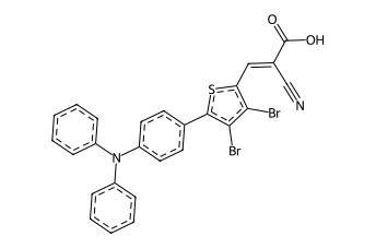 N#C/C(=C\c1sc(-c2ccc(N(c3ccccc3)c3ccccc3)cc2)c(Br)c1Br)C(=O)O